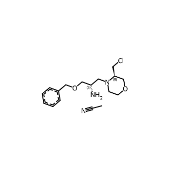 CC#N.N[C@H](COCc1ccccc1)CN1CCOC[C@@H]1CCl